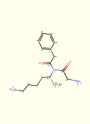 NCCCC[C@@H](C(=O)O)N(C(=O)CN)C(=O)Cc1ccccc1